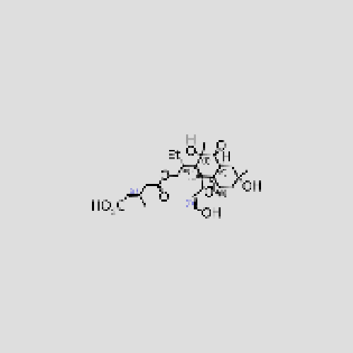 CC[C@@H](COC(=O)C/C(C)=C/C(=O)O)[C@@H]1[C@](C)(C(=O)/C=C\O)[C@H]2[C@H](C)CC(C)(O)C[C@@H]2C(=O)[C@@]1(C)O